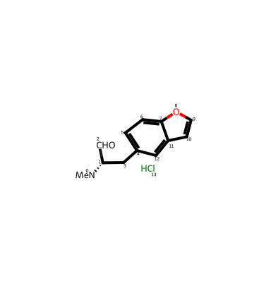 CN[C@H](C=O)Cc1ccc2occc2c1.Cl